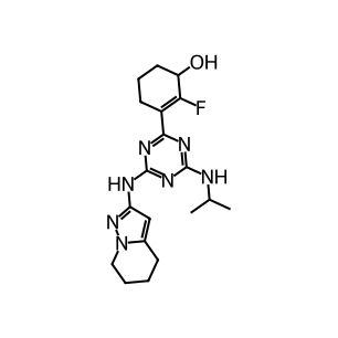 CC(C)Nc1nc(Nc2cc3n(n2)CCCC3)nc(C2=C(F)C(O)CCC2)n1